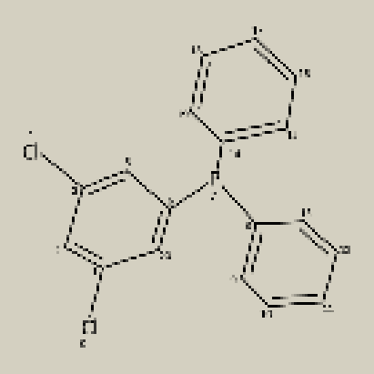 Clc1cc(Cl)cc(P(c2ccccc2)c2ccccc2)c1